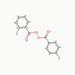 Cc1ccc(C(=O)OOC(=O)c2ccccc2C)cc1